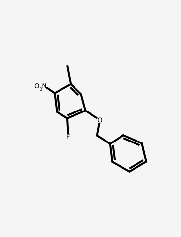 Cc1cc(OCc2ccccc2)c(F)cc1[N+](=O)[O-]